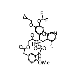 COc1ccc(CC(=O)OCC(=O)OC(Cc2c(Cl)cncc2Cl)c2ccc(OC(F)F)c(OCC3CC3)c2)cc1NS(C)(=O)=O